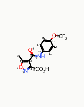 Cc1onc(C(=O)O)c1C(=O)Nc1ccc(OC(F)(F)F)cc1